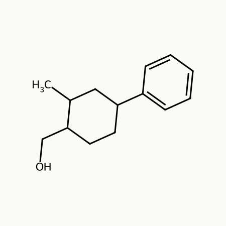 CC1CC(c2ccccc2)CCC1CO